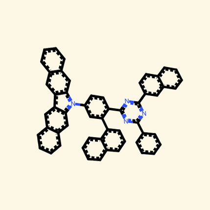 c1ccc(-c2nc(-c3ccc4ccccc4c3)nc(-c3ccc(-n4c5cc6ccccc6cc5c5cc6ccccc6cc54)cc3-c3cccc4ccccc34)n2)cc1